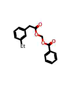 CCc1cccc(CC(=O)OCOC(=O)c2ccccc2)c1